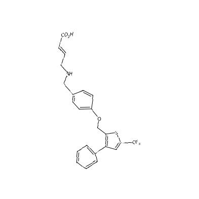 O=C(O)/C=C/CNCc1ccc(OCc2sc(C(F)(F)F)cc2-c2ccccc2)cc1